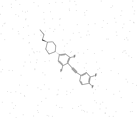 CCC[C@H]1CC[C@H](c2cc(F)c(C#Cc3ccc(F)c(F)c3)c(F)c2)CC1